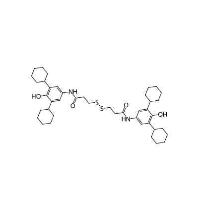 O=C(CCSSCCC(=O)Nc1cc(C2CCCCC2)c(O)c(C2CCCCC2)c1)Nc1cc(C2CCCCC2)c(O)c(C2CCCCC2)c1